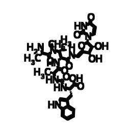 C[C@H](N)C(=O)N(C)[C@@H](C)[C@H](NC(=O)[C@H](C)NC(=O)N[C@@H](Cc1c[nH]c2ccccc12)C(=O)O)C(=O)N/C=C1\O[C@@H](n2ccc(=O)[nH]c2=O)[C@H](O)[C@@H]1O